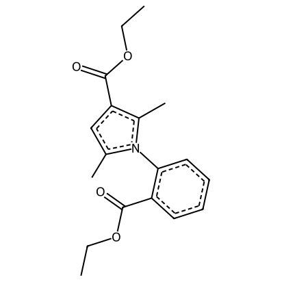 CCOC(=O)c1ccccc1-n1c(C)cc(C(=O)OCC)c1C